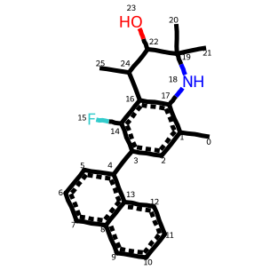 Cc1cc(-c2cccc3ccccc23)c(F)c2c1NC(C)(C)C(O)C2C